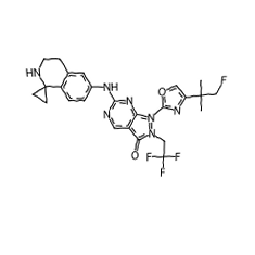 CC(C)(CF)c1coc(-n2c3nc(Nc4ccc5c(c4)CCNC54CC4)ncc3c(=O)n2CC(F)(F)F)n1